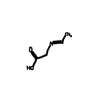 CC=NCC(=O)O